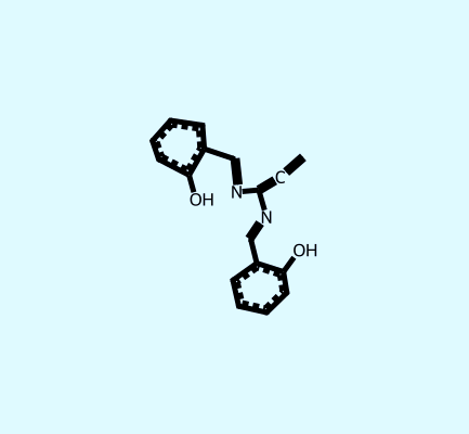 C=C=C(N=Cc1ccccc1O)N=Cc1ccccc1O